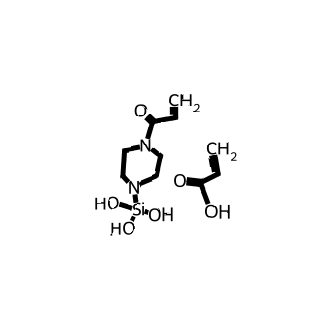 C=CC(=O)N1CCN([Si](O)(O)O)CC1.C=CC(=O)O